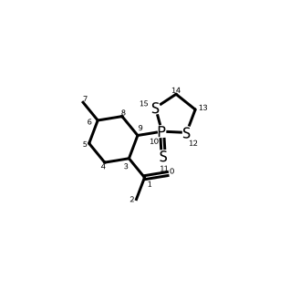 C=C(C)C1CCC(C)CC1P1(=S)SCCS1